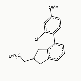 CCOC(=O)CN1Cc2cccc(-c3ccc(OC)cc3Cl)c2C1